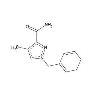 Bc1cn(CC2=CCCC=C2)nc1C(N)=O